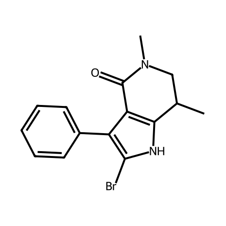 CC1CN(C)C(=O)c2c1[nH]c(Br)c2-c1ccccc1